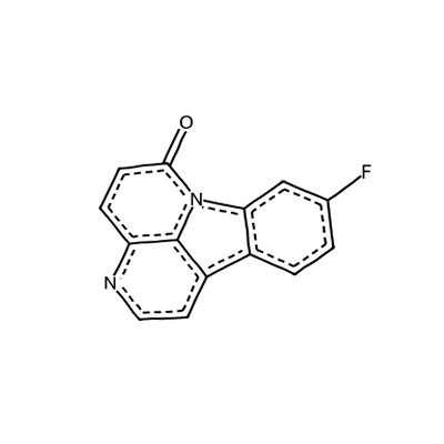 O=c1ccc2nccc3c4ccc(F)cc4n1c23